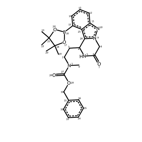 CN(CCC1NC(=O)Cn2nc3cccc(B4OC(C)(C)C(C)(C)O4)c3c21)C(=O)OCc1ccccc1